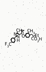 CCC(Cc1ccc(OC(c2[nH]c(-c3ccc(C(F)(F)F)cc3)nc2C)C2CC2)cc1C)C(=O)O